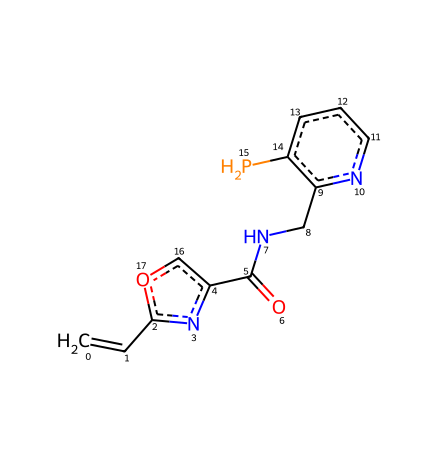 C=Cc1nc(C(=O)NCc2ncccc2P)co1